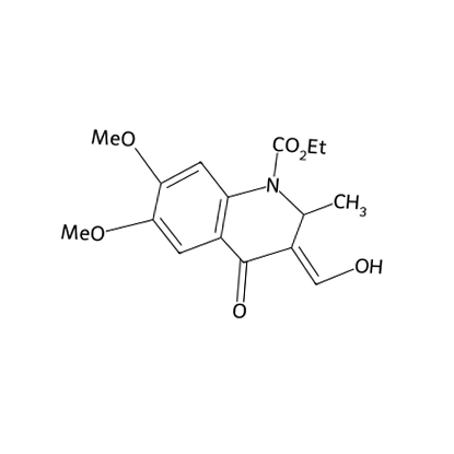 CCOC(=O)N1c2cc(OC)c(OC)cc2C(=O)C(=CO)C1C